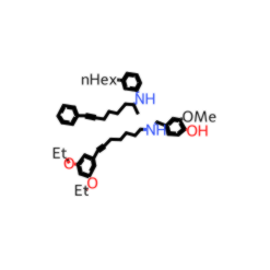 CCCCCCc1cccc(NC(C)CCCCC#Cc2ccccc2)c1.CCOc1cc(C#CCCCCCNCc2ccc(O)c(OC)c2)cc(OCC)c1